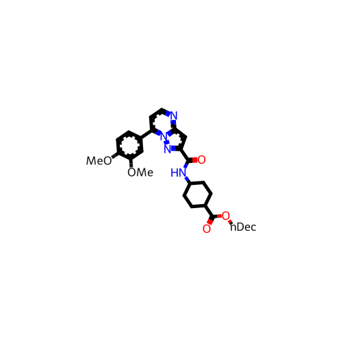 CCCCCCCCCCOC(=O)C1CCC(NC(=O)c2cc3nccc(-c4ccc(OC)c(OC)c4)n3n2)CC1